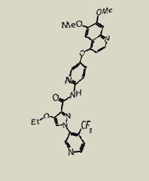 CCOc1cn(-c2cnccc2C(F)(F)F)nc1C(=O)Nc1ccc(Oc2ccnc3cc(OC)c(OC)cc23)cn1